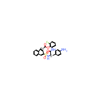 CCC(=O)Oc1c(F)cccc1NC(=O)[C@H](Cc1ccc(N)cc1)NS(=O)(=O)c1ccc2ccccc2c1